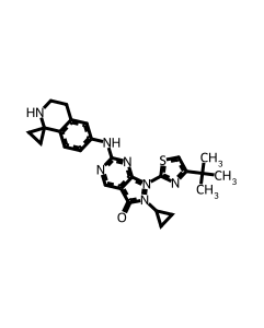 CC(C)(C)c1csc(-n2c3nc(Nc4ccc5c(c4)CCNC54CC4)ncc3c(=O)n2C2CC2)n1